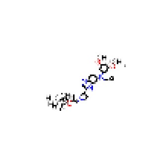 COc1cc(OC)cc(N(CC2CC2)c2ccc3ncc(-c4ccn(CCO[Si](C)(C)C(C)(C)C)c4)nc3c2)c1